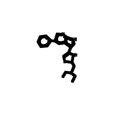 CCN(CC)CC1NC(c2c[nH]c3ncc(-c4ccccc4)cc23)=CS1